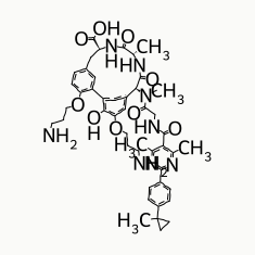 Cc1nc(-c2ccc(C3(C)CC3)cc2)nc(C)c1C(=O)NCC(=O)N(C)[C@@H]1C(=O)N[C@@H](C)C(=O)N[C@H](C(=O)O)Cc2ccc(OCCCN)c(c2)-c2cc1cc(OCCCN)c2O